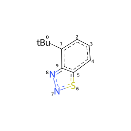 CC(C)(C)c1cccc2snnc12